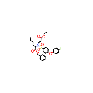 CCCCC(C(=O)OCc1ccccc1)N(C=CC(=O)OCC)S(=O)(=O)c1ccc(Oc2ccc(F)cc2)cc1